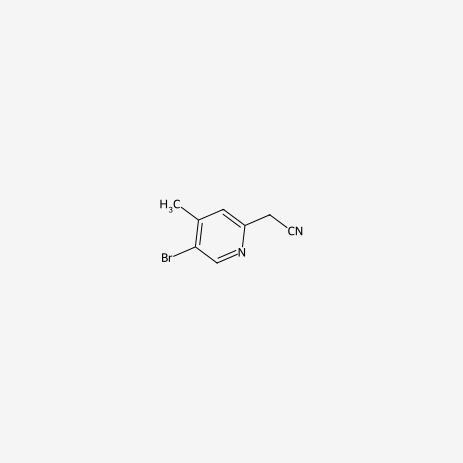 Cc1cc(CC#N)ncc1Br